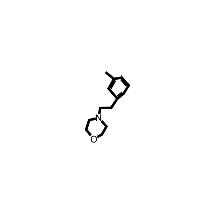 Cc1[c]ccc(CCN2CCOCC2)c1